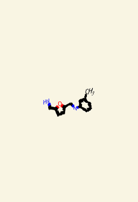 Cc1cccc(N=Cc2ccc(C=N)o2)c1